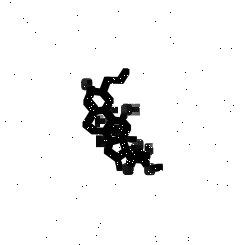 CCCC1C[C@@]2(C)C(=CC1=O)CC[C@H]1[C@@H]3C[C@H](C)[C@](O)(C(=O)C(=S)OC)[C@@]3(C)C[C@H](O)[C@@]12F